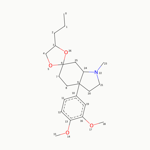 CCCC1COC2(CCC3(c4ccc(OC)c(OC)c4)CCN(C)C3C2)O1